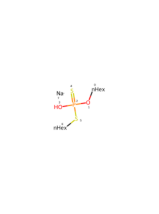 CCCCCCOP(O)(=S)SCCCCCC.[Na]